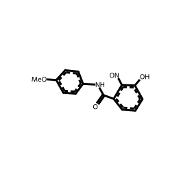 COc1ccc(NC(=O)c2cccc(O)c2N=O)cc1